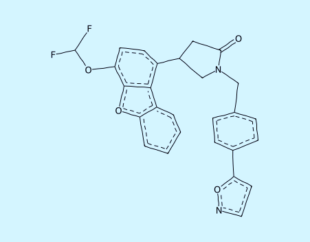 O=C1CC(c2ccc(OC(F)F)c3oc4ccccc4c23)CN1Cc1ccc(-c2ccno2)cc1